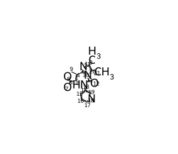 Cc1nc(C2=CC(=O)OC2)n(C(=O)Nc2cccnc2)c1C